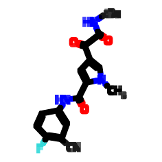 Cn1cc(C(=O)C(=O)NC(C)(C)C)cc1C(=O)Nc1ccc(F)c(C#N)c1